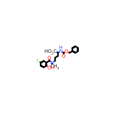 CN(CCCC(NC(=O)OCc1ccccc1)C(=O)O)C(=O)c1cc(F)ccc1O